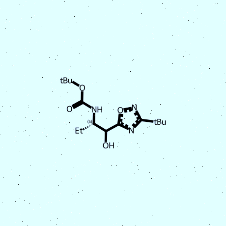 CC[C@H](NC(=O)OC(C)(C)C)C(O)c1nc(C(C)(C)C)no1